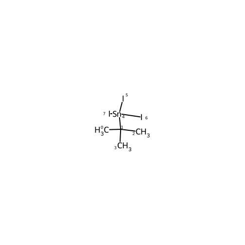 C[C](C)(C)[Sn]([I])([I])[I]